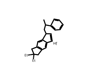 CCC1(CC)Cc2cc3c(cc2C1)[C](CC(C)c1ccccc1)C=C3.[Hf]